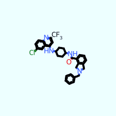 O=C(NC1CCC(Nc2cc(C(F)(F)F)nc3ccc(Cl)cc23)CC1)c1cccc2c1CN(Cc1ccccc1)C2